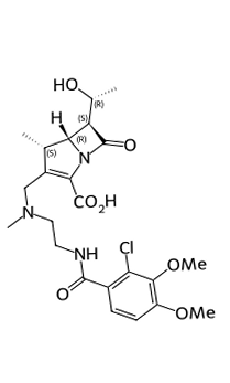 COc1ccc(C(=O)NCCN(C)CC2=C(C(=O)O)N3C(=O)[C@H]([C@@H](C)O)[C@H]3[C@H]2C)c(Cl)c1OC